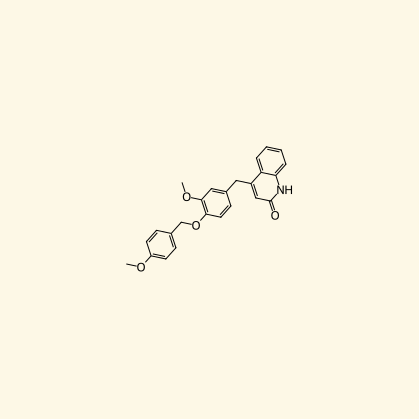 COc1ccc(COc2ccc(Cc3cc(=O)[nH]c4ccccc34)cc2OC)cc1